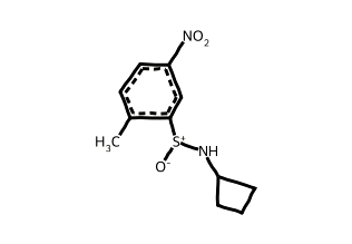 Cc1ccc([N+](=O)[O-])cc1[S+]([O-])NC1CCC1